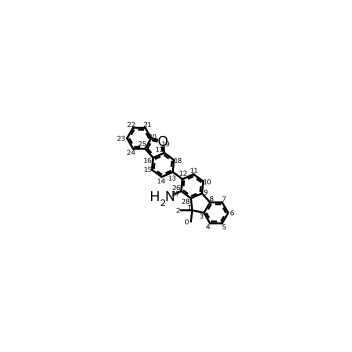 CC1(C)c2ccccc2-c2ccc(-c3ccc4c(c3)oc3ccccc34)c(N)c21